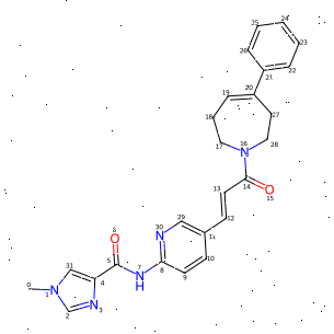 Cn1cnc(C(=O)Nc2ccc(/C=C/C(=O)N3CCC=C(c4ccccc4)CC3)cn2)c1